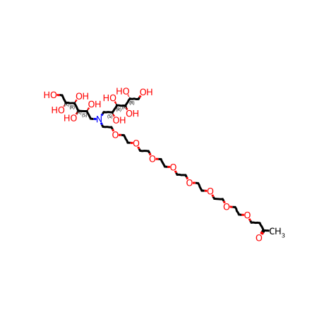 CC(=O)CCOCCOCCOCCOCCOCCOCCOCCOCCN(C[C@H](O)[C@@H](O)[C@H](O)[C@H](O)CO)C[C@H](O)[C@@H](O)[C@H](O)[C@H](O)CO